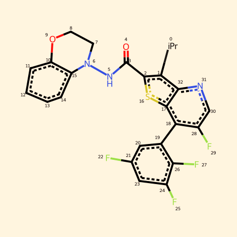 CC(C)c1c(C(=O)NN2CCOc3ccccc32)sc2c(-c3cc(F)cc(F)c3F)c(F)cnc12